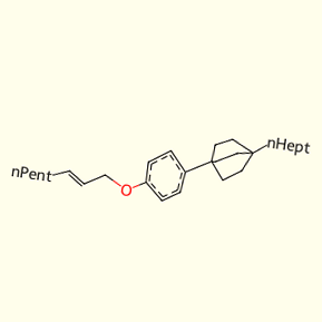 CCCCC/C=C/COc1ccc(C23CCC(CCCCCCC)(CC2)CC3)cc1